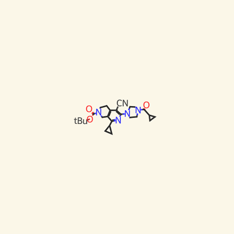 CC(C)(C)OC(=O)N1CCc2c(C#N)c(N3CCN(C(=O)C4CC4)CC3)nc(C3CC3)c2C1